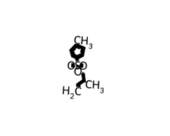 C=C[C@H](C)COS(=O)(=O)c1ccc(C)cc1